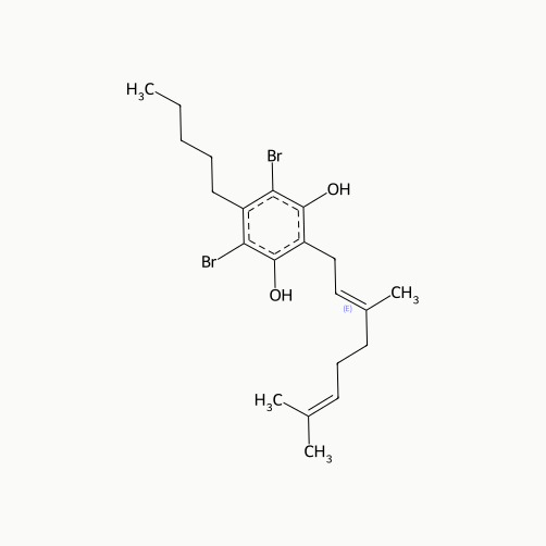 CCCCCc1c(Br)c(O)c(C/C=C(\C)CCC=C(C)C)c(O)c1Br